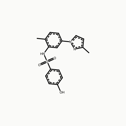 Cc1ccn(-c2ccc(C)c(NS(=O)(=O)c3ccc(O)cc3)c2)n1